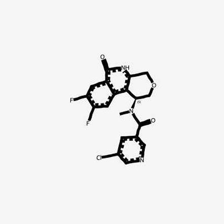 CN(C(=O)c1cncc(Cl)c1)[C@@H]1COCc2[nH]c(=O)c3cc(F)c(F)cc3c21